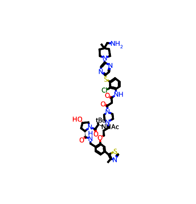 CC(=O)N[C@H](C(=O)N1C[C@H](O)C[C@H]1C(=O)NCc1ccc(-c2scnc2C)cc1OCCCN1CCN(C(=O)CC(=O)Nc2cccc(Sc3cnc(N4CCC(C)(CN)CC4)cn3)c2Cl)CC1)C(C)(C)C